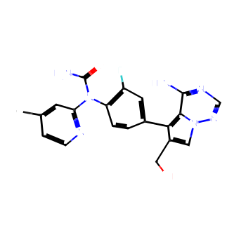 NC(=O)N(c1cc(C(F)(F)F)ccn1)c1ccc(-c2c(CO)cn3ncnc(N)c23)cc1F